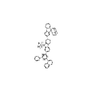 CC1(C)c2cc(-c3ccc4c(c3)C3(c5ccccc5-4)C4CC5CC(C4)CC3C5)ccc2-c2ccc(-c3nc(-c4ccccc4)nc(-c4cccc5ccccc45)n3)cc21